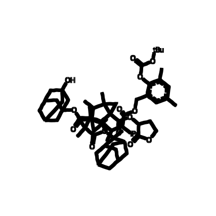 Cc1cc(C)c(OC(=O)OC(C)(C)C)c(COC(=O)C(C(C)C)C(C)C2(C)CC2(C(=O)OC23CC4CC(CC(O)(C4)C2)C3)C(C)C2(C)CC2(C(=O)OC2CCOC2=O)C(C)C2(C)CC2(C)C(=O)OC2(C)C3CC4CC(C3)CC2C4)c1